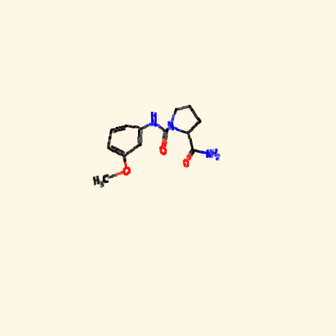 COc1cccc(NC(=O)N2CCCC2C(N)=O)c1